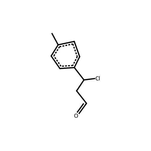 Cc1ccc(C(Cl)CC=O)cc1